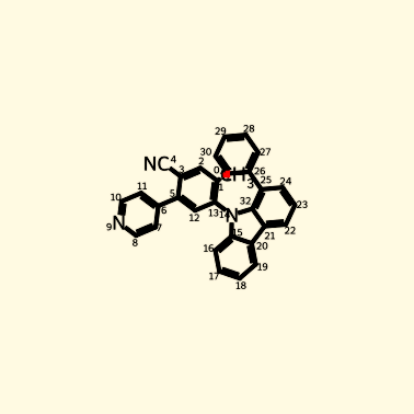 Cc1cc(C#N)c(-c2ccncc2)cc1-n1c2ccccc2c2cccc(-c3ccccc3)c21